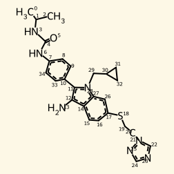 CC(C)NC(=O)Nc1ccc(-c2c(N)c3ccc(SCCn4cncn4)cc3n2CC2CC2)cc1